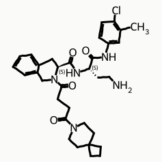 Cc1cc(NC(=O)[C@H](CCN)NC(=O)[C@@H]2Cc3ccccc3CN2C(=O)CCC(=O)N2CCC3(CCC3)CC2)ccc1Cl